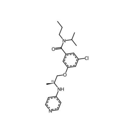 CCCN(C(=O)c1cc(Cl)cc(OC[C@H](C)Nc2ccncc2)c1)C(C)C